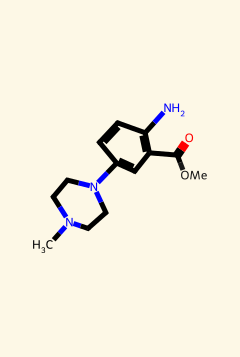 COC(=O)c1cc(N2CCN(C)CC2)ccc1N